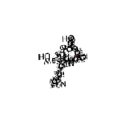 COc1ccc(C(=O)c2ccc(Oc3ccc(C4(c5ccc(Oc6cccc(Oc7ccc(-c8ccc(Oc9cccc(C)c9C#N)cc8)cc7)c6C#N)cc5)CCCCC4)cc3)c(SOOO)c2)cc1S(=O)(=O)O